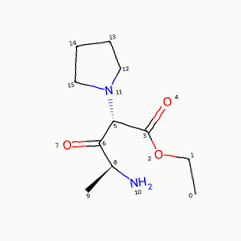 CCOC(=O)[C@H](C(=O)[C@H](C)N)N1CCCC1